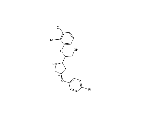 CC(C)c1ccc(O[C@H]2CNC(C(CO)Oc3cccc(Cl)c3C#N)C2)cc1